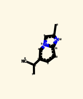 Cc1cn2cc(C(C)C#N)ccc2n1